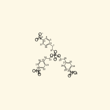 O=[N+]([O-])c1ccc(CCOP(=O)(OCCc2ccc([N+](=O)[O-])cc2)OCCc2ccc([N+](=O)[O-])cc2)cc1